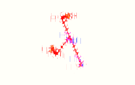 BC1CC(=O)N(CCC(=O)NCCOCCOCCOCCOCCNC(=O)CC(C(=O)NCCOCCOCCOCCOC2OC(COP(=O)(O)O)C(O)C(O)C2O)C(=O)NCCOCCOCCOCCOC2OC(COP(=O)(O)O)C(O)C(O)C2O)C1=O